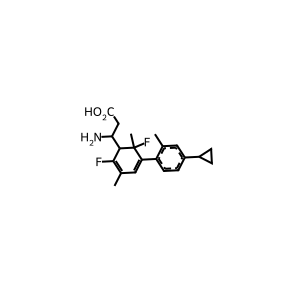 CC1=C(F)C(C(N)CC(=O)O)C(C)(F)C(c2ccc(C3CC3)cc2C)=C1